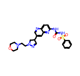 O=C(Nc1ccc2ncc(C3C=NN(CCN4CCOCC4)C3)cc2n1)NS(=O)(=O)c1ccccc1